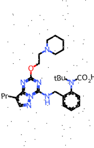 CC(C)c1cnn2c(NCc3ccccc3N(C(=O)O)C(C)(C)C)nc(OCCN3CCCCC3)nc12